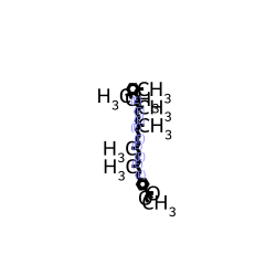 COC(=O)c1ccc(/C=C/C(C)=C/C=C/C(C)=C/C=C/C=C(C)/C=C/C=C(C)/C=C/C2=C(C)CCCC2(C)C)cc1